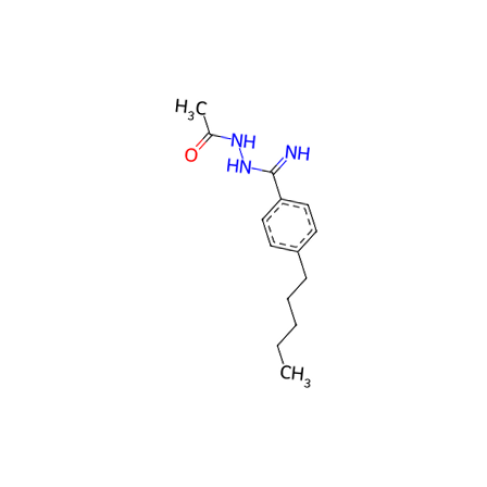 CCCCCc1ccc(C(=N)NNC(C)=O)cc1